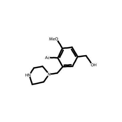 COc1cc(CO)cc(CN2CCNCC2)c1C(C)=O